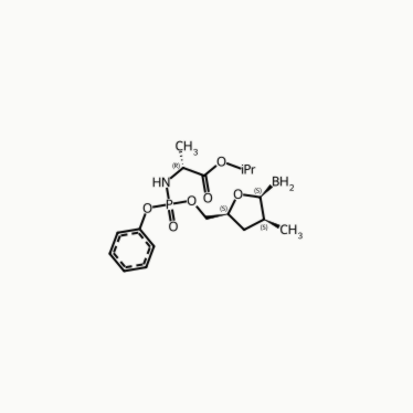 B[C@@H]1O[C@H](COP(=O)(N[C@H](C)C(=O)OC(C)C)Oc2ccccc2)C[C@@H]1C